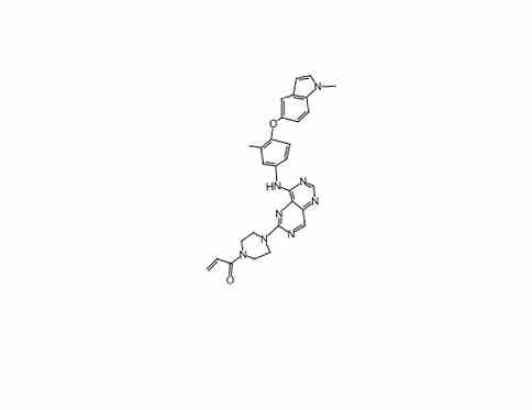 C=CC(=O)N1CCN(c2ncc3ncnc(Nc4ccc(Oc5ccc6c(ccn6C)c5)c(C)c4)c3n2)CC1